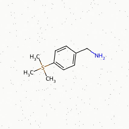 CS(C)(C)c1ccc(CN)cc1